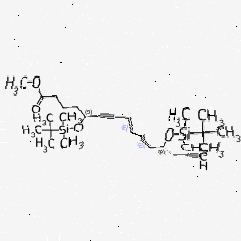 C#CC[C@H](/C=C/C=C/C#C[C@H](CCCC(=O)OC)O[Si](C)(C)C(C)(C)C)O[Si](C)(C)C(C)(C)C